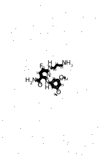 COc1cc(Nc2nc(NCCCN)c(F)cc2C(N)=O)cc(OC)c1